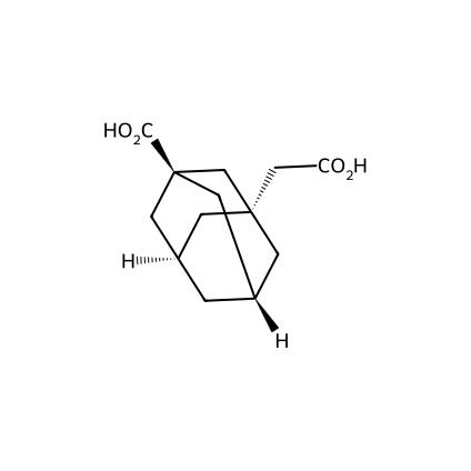 O=C(O)C[C@@]12C[C@H]3C[C@@H](C1)C[C@](C(=O)O)(C3)C2